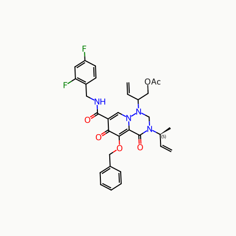 C=CC(COC(C)=O)N1CN([C@@H](C)C=C)C(=O)c2c(OCc3ccccc3)c(=O)c(C(=O)NCc3ccc(F)cc3F)cn21